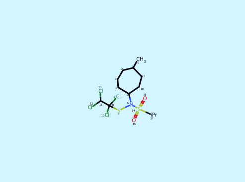 CC1CCCC(N(SC(Cl)(Cl)C(Cl)Cl)S(=O)(=O)C(C)C)CC1